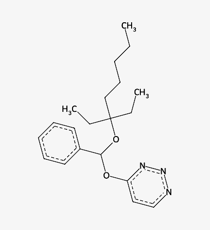 CCCCCC(CC)(CC)OC(Oc1ccnnn1)c1ccccc1